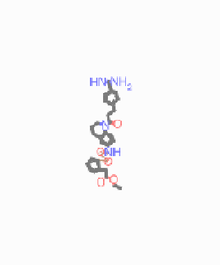 CCOC(=O)Cc1ccccc1S(=O)(=O)Nc1ccc2c(c1)CCCN2C(=O)CCc1ccc(C(=N)N)cc1